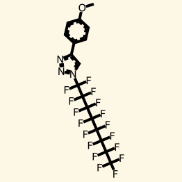 COc1ccc(-c2cn(C(F)(F)C(F)(F)C(F)(F)C(F)(F)C(F)(F)C(F)(F)C(F)(F)C(F)(F)F)nn2)cc1